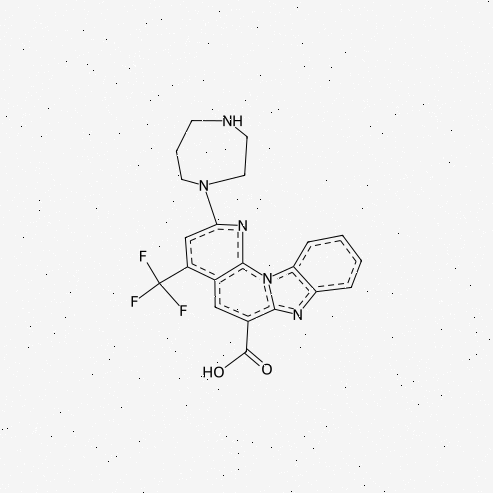 O=C(O)c1cc2c(C(F)(F)F)cc(N3CCCNCC3)nc2n2c1nc1ccccc12